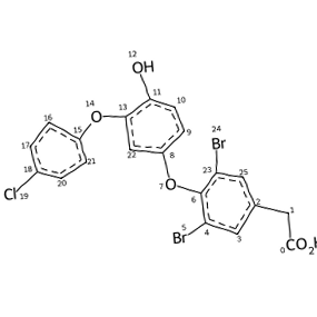 O=C(O)Cc1cc(Br)c(Oc2ccc(O)c(Oc3ccc(Cl)cc3)c2)c(Br)c1